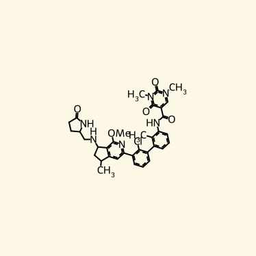 COc1nc(-c2cccc(-c3cccc(NC(=O)c4cn(C)c(=O)n(C)c4=O)c3C)c2Cl)cc2c1C(NCC1CCC(=O)N1)CC2C